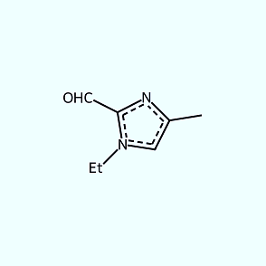 CCn1cc(C)nc1C=O